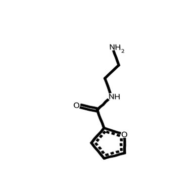 NCCNC(=O)c1ccco1